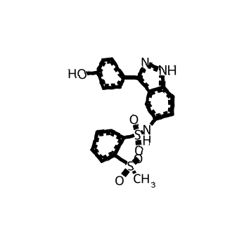 CS(=O)(=O)c1ccccc1S(=O)(=O)Nc1ccc2[nH]nc(-c3ccc(O)cc3)c2c1